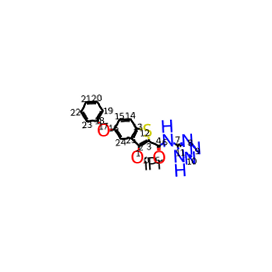 CC(C)Oc1c(C(=O)Nc2nnn[nH]2)sc2ccc(Oc3ccccc3)cc12